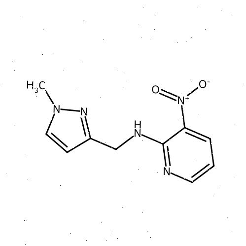 Cn1ccc(CNc2ncccc2[N+](=O)[O-])n1